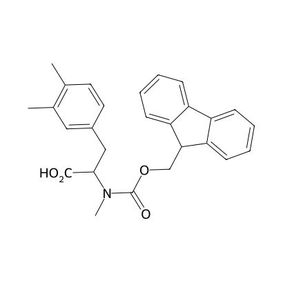 Cc1ccc(CC(C(=O)O)N(C)C(=O)OCC2c3ccccc3-c3ccccc32)cc1C